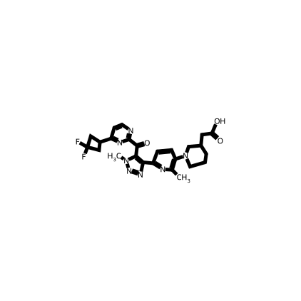 Cc1nc(-c2nnn(C)c2C(=O)c2nccc(C3CC(F)(F)C3)n2)ccc1N1CCCC(CC(=O)O)C1